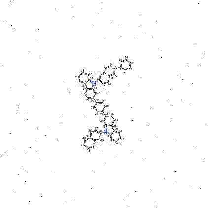 c1ccc(-c2ccc3cc(-n4c5ccccc5c5ccc(-c6ccc(-c7ccc8c9ccccc9n(-c9ccc%10ccccc%10c9)c8c7)cc6)cc54)ccc3c2)cc1